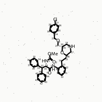 COC(=O)N[C@H](C(=O)Nc1ccccc1CC[C@@H]1CNC[C@@H](COCc2ccc(Cl)cc2)O1)C(c1ccccc1)c1ccccc1